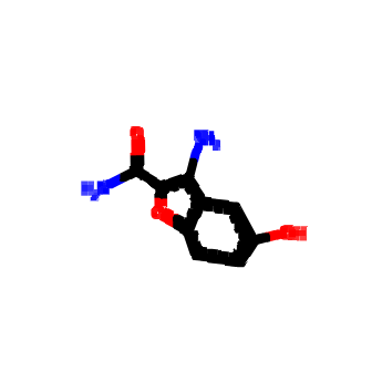 NC(=O)c1oc2ccc(O)cc2c1N